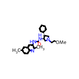 COCCN1C[C@@H](NC(=O)Nc2cc3cc(C)ccc3nc2C)[C@H](c2ccccc2)C1